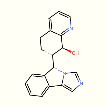 O[C@@H]1c2ncccc2CC[C@H]1[C@H]1c2ccccc2-c2cncn21